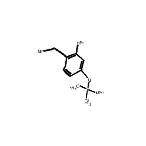 CCCc1cc(O[Si](C)(C)C(C)(C)C)ccc1CBr